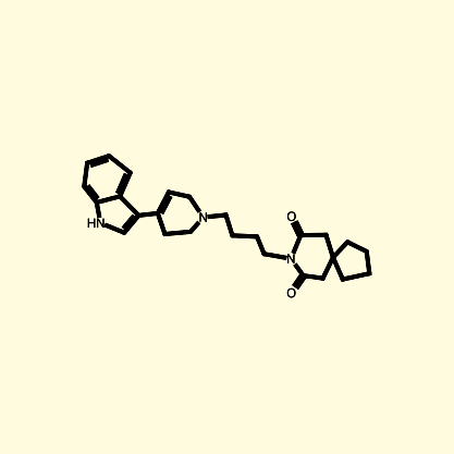 O=C1CC2(CCCC2)CC(=O)N1CCCCN1CC=C(c2c[nH]c3ccccc23)CC1